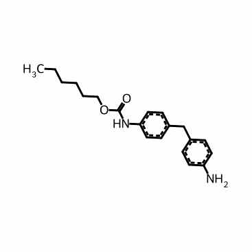 CCCCCCOC(=O)Nc1ccc(Cc2ccc(N)cc2)cc1